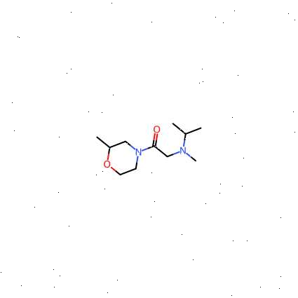 CC1CN(C(=O)CN(C)C(C)C)CCO1